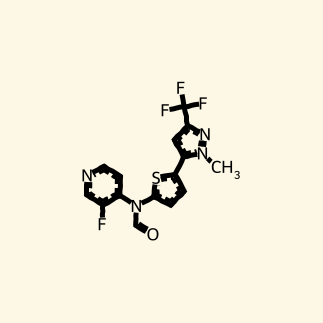 Cn1nc(C(F)(F)F)cc1-c1ccc(N(C=O)c2ccncc2F)s1